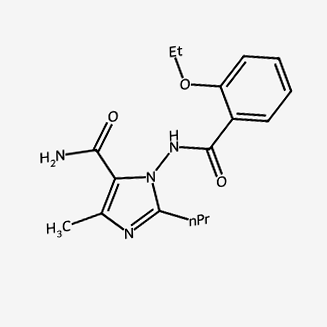 CCCc1nc(C)c(C(N)=O)n1NC(=O)c1ccccc1OCC